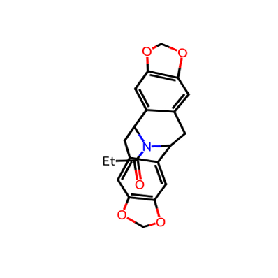 CCC(=O)N1C2Cc3cc4c(cc3C1Cc1cc3c(cc12)OCO3)OCO4